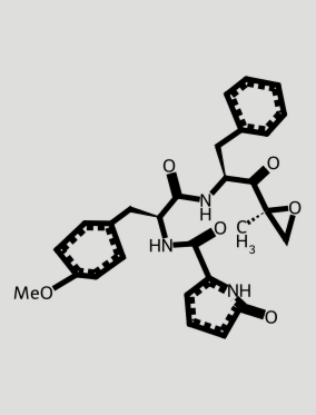 COc1ccc(C[C@H](NC(=O)c2cccc(=O)[nH]2)C(=O)N[C@@H](Cc2ccccc2)C(=O)[C@]2(C)CO2)cc1